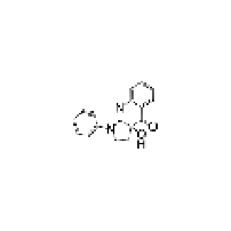 O=C1c2ccccc2N=C2N(c3c#cccc3)CC[C@@]12O